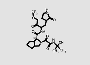 CC(C)(C#N)NC(=O)C(=O)N1CC2CCCC2[C@H]1C(=O)NC(CC1CCNC1=O)C(=O)COC(F)(F)F